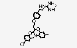 Cc1ccc2c(c1)OC(CCOc1ccc(CCNC(=N)N)cc1)C(=O)N2Cc1cccc(Cl)c1